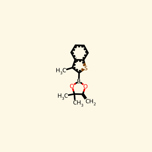 C=C1OB(c2sc3ccccc3c2C)OC1(C)C